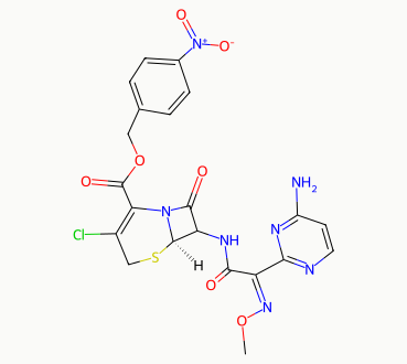 CO/N=C(\C(=O)NC1C(=O)N2C(C(=O)OCc3ccc([N+](=O)[O-])cc3)=C(Cl)CS[C@H]12)c1nccc(N)n1